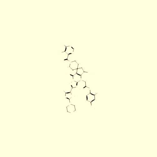 Cc1nc(N2CCOCC2)sc1-c1nc2n(CC(=O)Nc3ccc(C(F)(F)F)cc3Cl)c3c(c(=O)n2n1)C1(CCN(C(=O)c2ncnc(C)c2O)CC1)CC3C